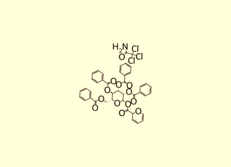 NC(=O)C(Cl)(Cl)Cl.O=C(OC[C@H]1OC(OC(=O)C2C=CC=CO2)[C@@H](OC(=O)c2ccccc2)[C@@H](OC(=O)c2ccccc2)[C@@H]1OC(=O)c1ccccc1)c1ccccc1